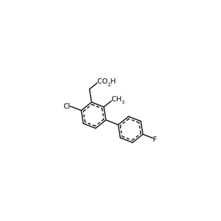 Cc1c(-c2ccc(F)cc2)ccc(Cl)c1CC(=O)O